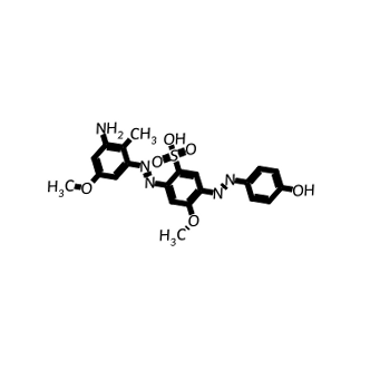 COc1cc(N)c(C)c(N=Nc2cc(OC)c(N=Nc3ccc(O)cc3)cc2S(=O)(=O)O)c1